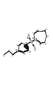 CCCc1ccc(S(=O)(=O)N2CCCCCC2)cc1